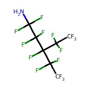 NC(F)(F)C(F)(F)C(F)(C(F)(F)C(F)(F)F)C(F)(F)C(F)(F)F